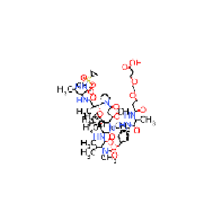 CC[C@H](C)[C@@H]([C@@H](CC(=O)N1CCC[C@H]1[C@H](OC)[C@@H](C)C(=O)N[C@@H](CC(C)C)C(=O)NS(=O)(=O)C1CC1)OC)N(C)C(=O)[C@@H](NC(=O)[C@H](C(C)C)N(C)C(=O)OCc1ccc(NC(=O)[C@H](C)NC(=O)CCOCCOCCC(=O)O)cc1)C(C)C